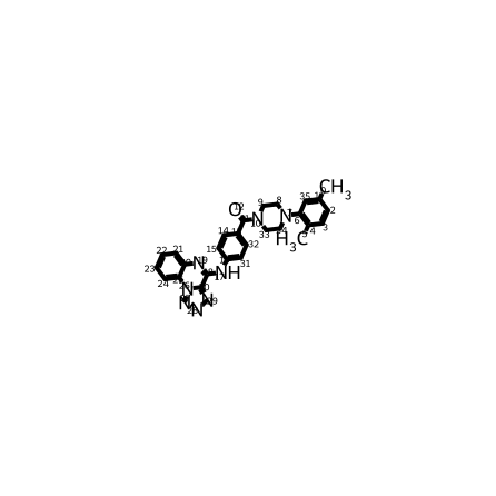 Cc1ccc(C)c(N2CCN(C(=O)c3ccc(Nc4nc5ccccc5n5nnnc45)cc3)CC2)c1